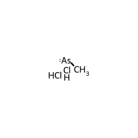 C[As].Cl.Cl